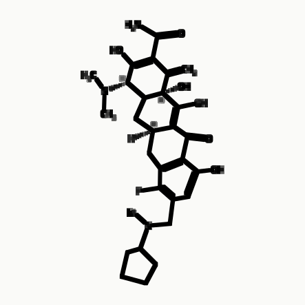 C=C1C(C(N)=O)=C(O)[C@@H](N(C)C)C2C[C@@H]3Cc4c(F)c(CN(CC)C5CCCC5)cc(O)c4C(=O)C3=C(O)[C@]12O